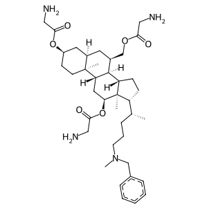 C[C@H](CCCN(C)Cc1ccccc1)[C@H]1CC[C@H]2[C@@H]3[C@H](COC(=O)CN)C[C@@H]4C[C@H](OC(=O)CN)CC[C@]4(C)[C@H]3C[C@H](OC(=O)CN)[C@]12C